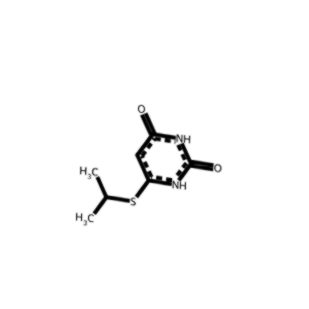 CC(C)Sc1cc(=O)[nH]c(=O)[nH]1